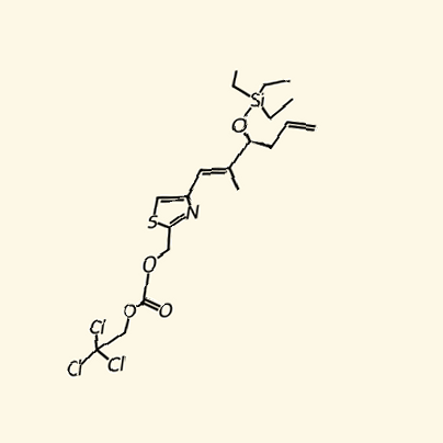 C=CC[C@H](O[Si](CC)(CC)CC)/C(C)=C/c1csc(COC(=O)OCC(Cl)(Cl)Cl)n1